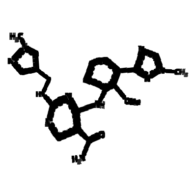 COc1c(Nc2nc(NCc3cnn(C)c3)ncc2C(N)=O)cccc1-c1ncn(C)n1